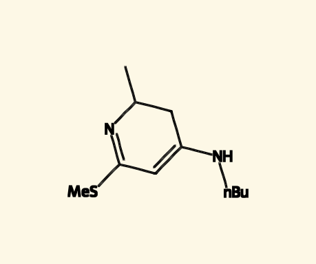 CCCCNC1=CC(SC)=NC(C)C1